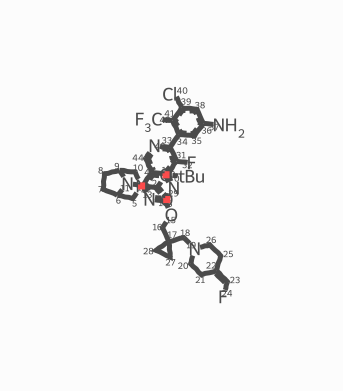 CC(C)(C)OC(=O)N1CC2CCC(C1)N2c1nc(OCC2(CN3CCC(=CF)CC3)CC2)nc2c(F)c(-c3cc(N)cc(Cl)c3C(F)(F)F)ncc12